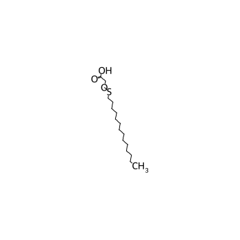 CCCCCCCCCCCCCCSOCC(=O)O